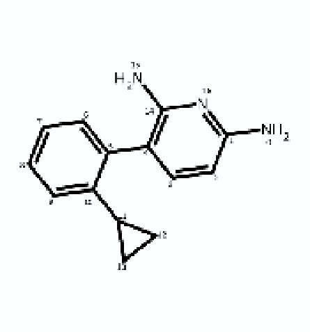 Nc1ccc(-c2ccccc2C2CC2)c(N)n1